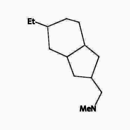 CCC1CCC2CC(CNC)CC2C1